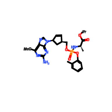 COc1nc(N)nc2c1ncn2[C@H]1C=C[C@@H](COP(=O)(N[C@@H](C)C(=O)OC(C)C)Oc2ccccc2C)C1